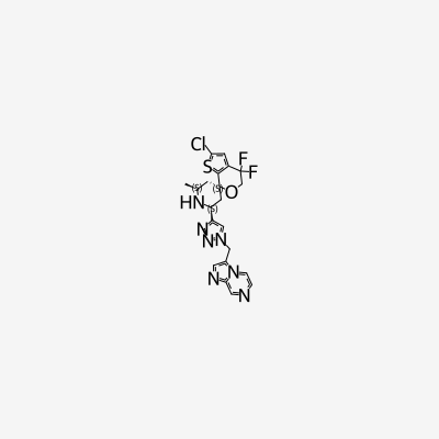 C[C@H]1C[C@@]2(C[C@@H](c3cn(Cc4cnc5cnccn45)nn3)N1)OCC(F)(F)c1cc(Cl)sc12